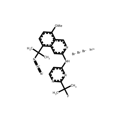 COc1ccc(C(C)(C)N=[N+]=[N-])c2cc(Nc3ccnc(C(C)(C)F)n3)ncc12.[Br-].[Br-].[Br-].[In+3]